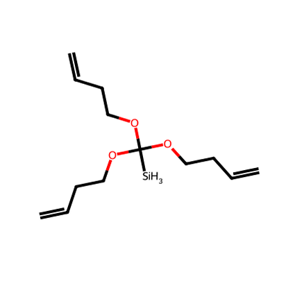 C=CCCOC([SiH3])(OCCC=C)OCCC=C